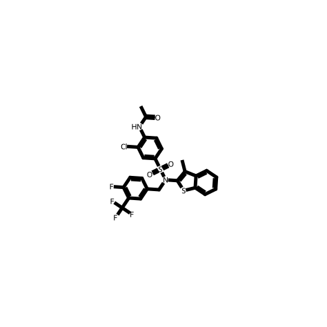 CC(=O)Nc1ccc(S(=O)(=O)N(Cc2ccc(F)c(C(F)(F)F)c2)c2sc3ccccc3c2C)cc1Cl